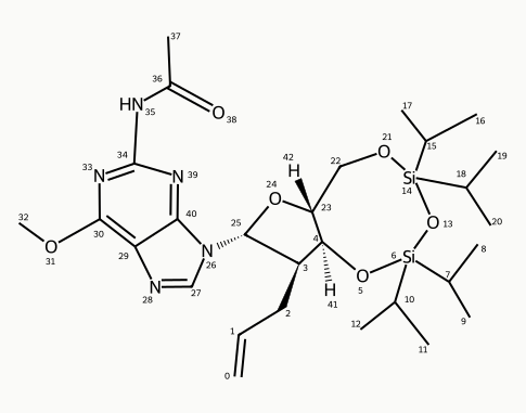 C=CC[C@@H]1[C@@H]2O[Si](C(C)C)(C(C)C)O[Si](C(C)C)(C(C)C)OC[C@H]2O[C@H]1n1cnc2c(OC)nc(NC(C)=O)nc21